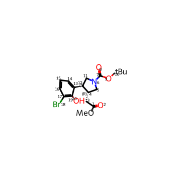 COC(=O)C[C@H]1CN(C(=O)OC(C)(C)C)C[C@@H]1c1cccc(Br)c1O